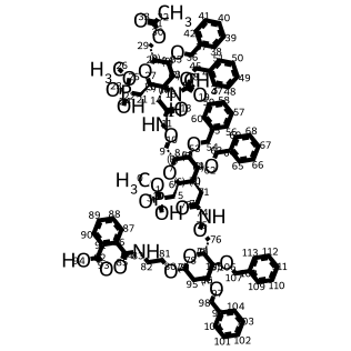 COP(=O)(O)C[C@H]1O[C@H](CONC(=O)C[C@]2(NC(C)=O)[C@@H](CP(=O)(O)OC)O[C@H](COC(C)=O)[C@@H](OCc3ccccc3)[C@@H]2OCc2ccccc2)[C@@H](OCc2ccccc2)[C@H](OCc2ccccc2)[C@H]1CC(=O)NOC[C@H]1O[C@H](OCCNC(=O)c2ccccc2C(=O)O)C[C@@H](OCc2ccccc2)[C@@H]1OCc1ccccc1